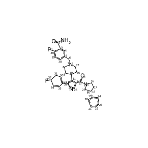 NC(=O)c1cc(CN2CCC(c3c(C(=O)N4CC[C@H](c5ccccc5)C4)cnn3C3=CCC(F)C=C3)CC2)ccc1F